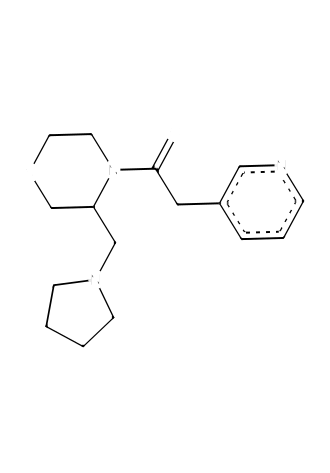 O=C(Cc1cccnc1)N1CCSCC1CN1CCCC1